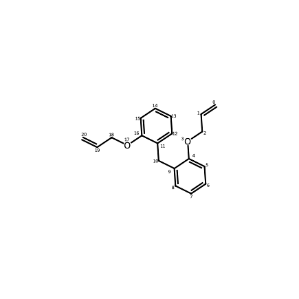 C=CCOc1ccccc1Cc1ccccc1OCC=C